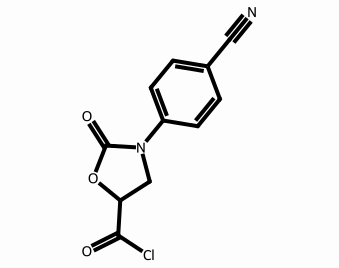 N#Cc1ccc(N2CC(C(=O)Cl)OC2=O)cc1